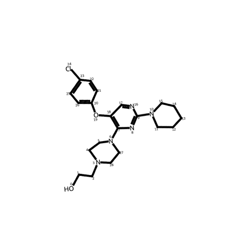 OCCN1CCN(c2nc(N3CCCCC3)ncc2Oc2ccc(Cl)cc2)CC1